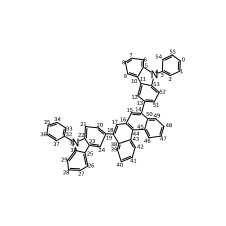 c1ccc(-n2c3ccccc3c3cc(-c4cc5cc(-c6ccc7c(c6)c6ccccc6n7-c6ccccc6)c6ccccc6c5c5ccccc45)ccc32)cc1